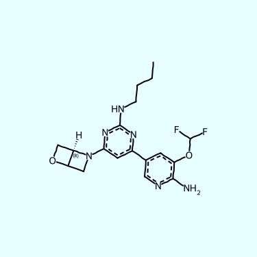 CCCCNc1nc(-c2cnc(N)c(OC(F)F)c2)cc(N2CC3OC[C@H]32)n1